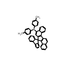 Cc1ccc(N(c2ccc(C)cc2)c2cc3c(c4ccccc24)-c2ccc4ccccc4c2C32c3ccccc3-c3ccccc32)cc1